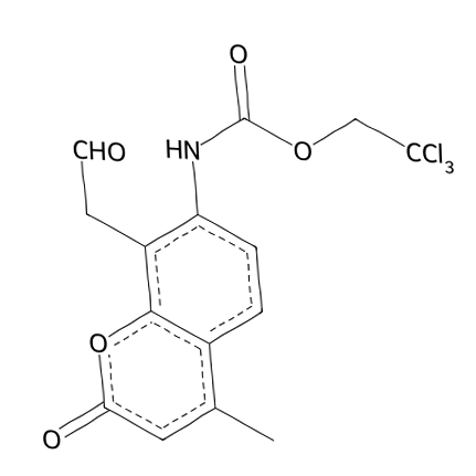 Cc1cc(=O)oc2c(CC=O)c(NC(=O)OCC(Cl)(Cl)Cl)ccc12